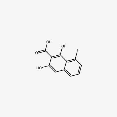 O=C(O)c1c(O)cc2cccc(I)c2c1O